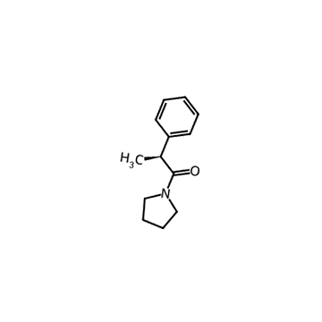 C[C@H](C(=O)N1CCCC1)c1ccccc1